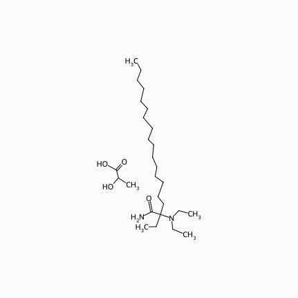 CC(O)C(=O)O.CCCCCCCCCCCCCCCCC(CC)(C(N)=O)N(CC)CC